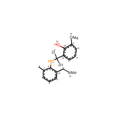 CCC(CC)(Pc1c(C)cccc1CNC)c1cccc(OC)c1O